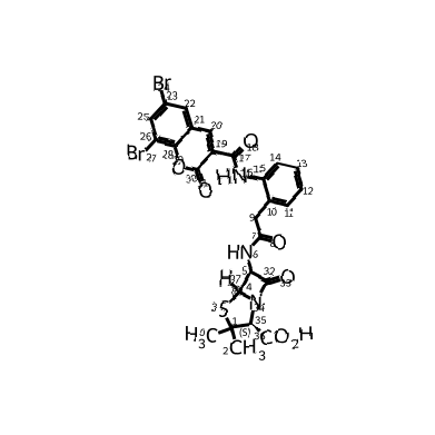 CC1(C)S[C@@H]2C(NC(=O)Cc3ccccc3NC(=O)c3cc4cc(Br)cc(Br)c4oc3=O)C(=O)N2[C@H]1C(=O)O